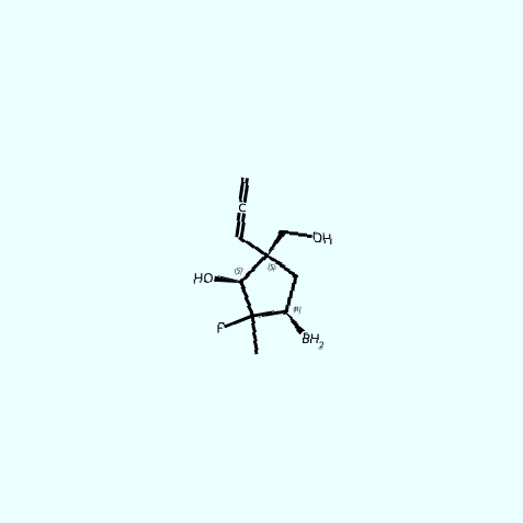 B[C@@H]1C[C@](C=C=C)(CO)[C@H](O)C1(C)F